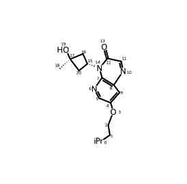 CC(C)CCOc1cnc2c(c1)ncc(=O)n2[C@H]1C[C@](C)(O)C1